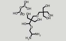 NC(N)COC(O)C(CO)(CO)COCC(CO)(CO)CO.OP(O)OP(O)O